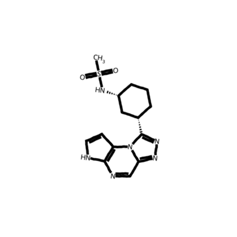 CS(=O)(=O)N[C@@H]1CCC[C@H](c2nnc3cnc4[nH]ccc4n23)C1